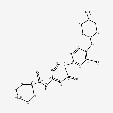 NC1CCN(Cc2ccc(-n3ccc(NC(=O)N4CCNCC4)nc3=O)cc2Cl)CC1